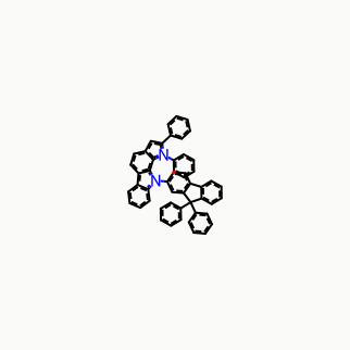 c1ccc(-c2cc3ccc4c5ccccc5n(-c5ccc6c(c5)C(c5ccccc5)(c5ccccc5)c5ccccc5-6)c4c3n2-c2ccccc2)cc1